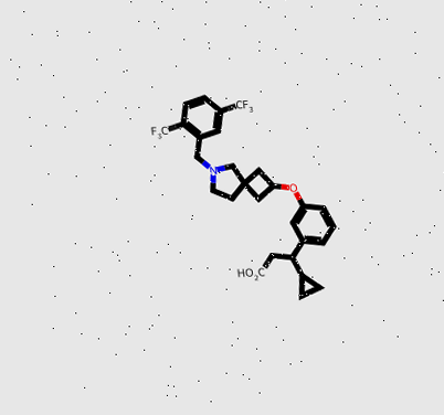 O=C(O)CC(c1cccc(OC2CC3(CCN(Cc4cc(C(F)(F)F)ccc4C(F)(F)F)C3)C2)c1)C1CC1